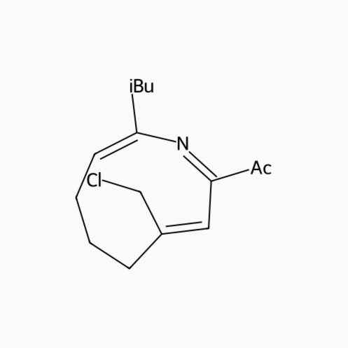 CCC(C)C1=C/CCC/C(CCl)=C/C(C(C)=O)=N\1